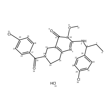 CCC(Nc1nc2c(c(=O)n1OC)CN(C(=O)c1ccc(Cl)cc1)CC2)c1ccc(Cl)cc1.Cl